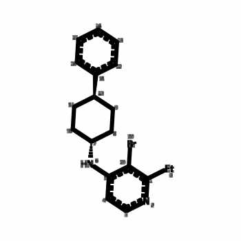 CCc1nccc(N[C@H]2CC[C@H](c3ccccc3)CC2)c1Br